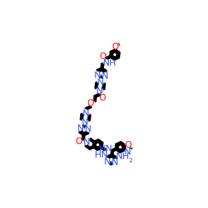 COc1cccc(C(=O)NCc2cnc(N3CCN(C(=O)CCOCCN4CCN(c5ncc(C(=O)N6CCc7cc(CNc8ncnc(N)c8C(=N)c8ccc9ocnc9c8)ccc7C6)cn5)CC4)CC3)nc2)c1